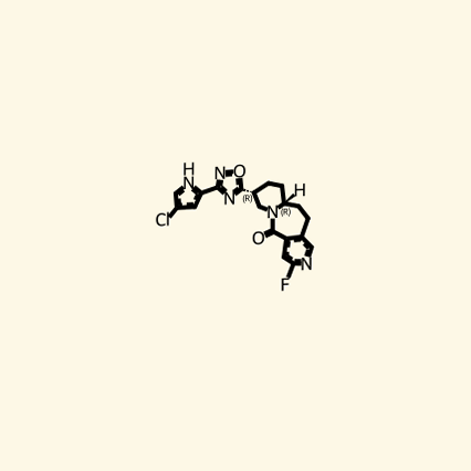 O=C1c2cc(F)ncc2CC[C@H]2CC[C@@H](c3nc(-c4cc(Cl)c[nH]4)no3)CN12